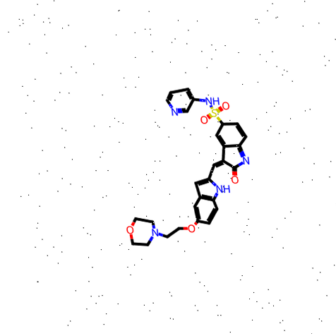 O=C1N=C2C=CC(S(=O)(=O)Nc3cccnc3)C=C2C1=Cc1cc2cc(OCCN3CCOCC3)ccc2[nH]1